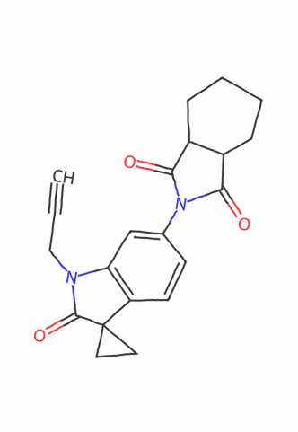 C#CCN1C(=O)C2(CC2)c2ccc(N3C(=O)C4CCCCC4C3=O)cc21